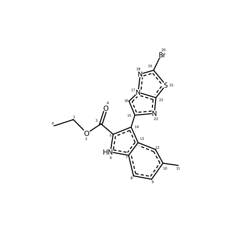 CCOC(=O)c1[nH]c2ccc(C)cc2c1-c1cn2nc(Br)sc2n1